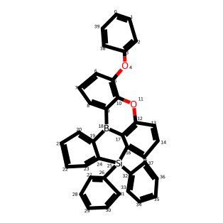 c1ccc(Oc2cccc3c2Oc2cccc4c2B3c2ccccc2[Si]4(c2ccccc2)c2ccccc2)cc1